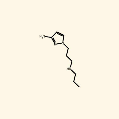 CCCNCCCn1ccc(N)n1